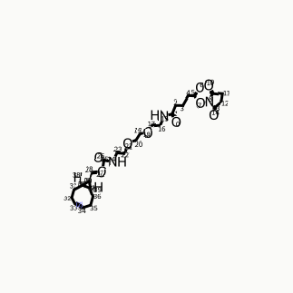 O=C(CCCC(=O)ON1C(=O)CCC1=O)NCCOCCOCCNC(=O)OC[C@@H]1[C@@H]2CC/C=C\CC[C@@H]21